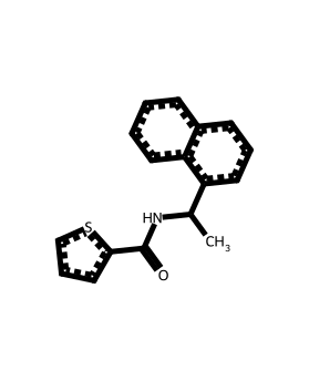 CC(NC(=O)c1cccs1)c1cccc2ccccc12